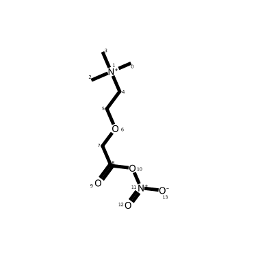 C[N+](C)(C)CCOCC(=O)O[N+](=O)[O-]